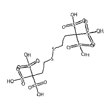 O=S(=O)(O)C(CCSSCCC(S(=O)(=O)O)(S(=O)(=O)O)S(=O)(=O)O)(S(=O)(=O)O)S(=O)(=O)O